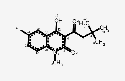 Cn1c(=O)c(C(=O)CC(C)(C)C)c(O)c2cc(I)ccc21